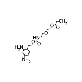 C=CC(=O)OCCOCCNC(=O)OCCc1ccc(N)cc1N